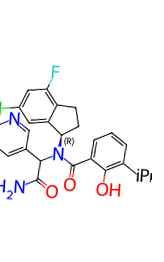 CC(C)c1cccc(C(=O)N(C(C(N)=O)c2cccnc2)[C@@H]2CCc3c(F)cc(Cl)cc32)c1O